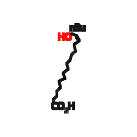 CCCC[C@@H](O)/C=C\CCCCCCCCCCCCCC(=O)O